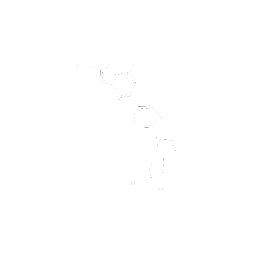 Cc1cn2nc(-c3ccc(N4CCC(NC(C)(C)C)C4)nn3)cc(C)c2n1